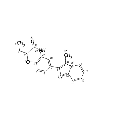 CCC1Oc2ccc(-c3nc4ccccn4c3C)cc2NC1=O